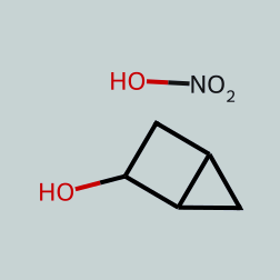 O=[N+]([O-])O.OC1CC2CC12